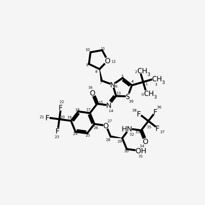 CC(C)(C)c1cn(C[C@H]2CCCO2)c(=NC(=O)c2cc(C(F)(F)F)ccc2OC[C@H](CO)NC(=O)C(F)(F)F)s1